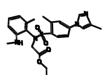 CCOC(=O)CN(c1c(C)cccc1NC)S(=O)(=O)c1ccc(-n2cnc(C)c2)cc1C